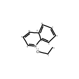 CCCl.c1ccc2ncccc2c1